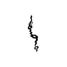 C=CCCOCc1ccc(CCCCc2ccc(CCCC[C@H]3CC[C@H](C=C)CC3)cc2)cc1